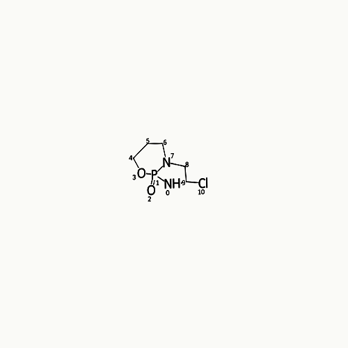 [NH]P1(=O)OCCCN1CCCl